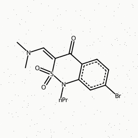 CCCN1c2cc(Br)ccc2C(=O)C(=CN(C)C)S1(=O)=O